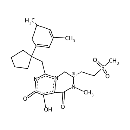 CC1=CC(C)CC(C2(Cc3nc(=O)c(O)c4n3C[C@H](CCS(C)(=O)=O)N(C)C4=O)CCCC2)=C1